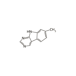 Cc1ccc2c(c1)[nH]c1ncncc12